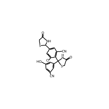 N#Cc1cc(O)cc(C2(c3c(Cl)cc(C4NC(=O)CS4)cc3C#N)NC(=O)CS2)c1